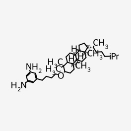 CC(C)CCCC(C)[C@H]1CC[C@H]2[C@@H]3CCC4C(C)(C)C(OCCCCc5cc(N)cc(N)c5)CC[C@]4(C)[C@H]3CC[C@]12C